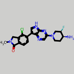 CN1Cc2c(ccc(-c3c[nH]c4nc(N5CC[C@H](N)[C@H](F)C5)cnc34)c2Cl)C1=O